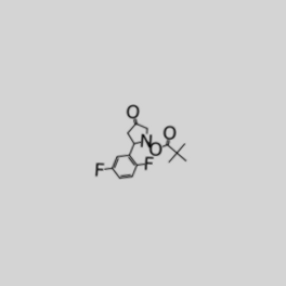 CC(C)(C)C(=O)ON1CC(=O)CC1c1cc(F)ccc1F